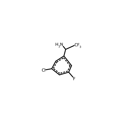 NC(c1cc(F)cc(Cl)c1)C(F)(F)F